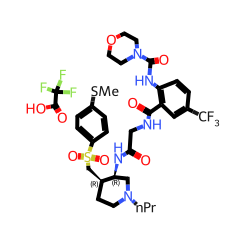 CCCN1CC[C@@H](CS(=O)(=O)c2ccc(SC)cc2)[C@@H](NC(=O)CNC(=O)c2cc(C(F)(F)F)ccc2NC(=O)N2CCOCC2)C1.O=C(O)C(F)(F)F